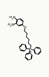 Nc1ccc(OCCCCCC[PH](c2ccccc2)(c2ccccc2)c2ccccc2)cc1N